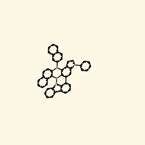 c1ccc(-n2ccc3c4c5c(cc32)-c2cccc3c6ccccc6n(c23)B5c2c(ccc3ccccc23)N4c2ccc3ccccc3c2)cc1